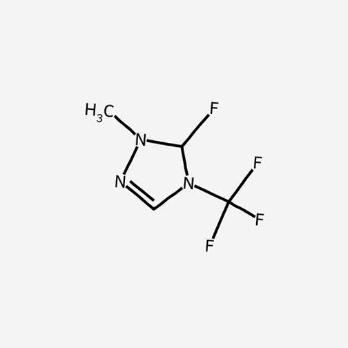 CN1N=CN(C(F)(F)F)C1F